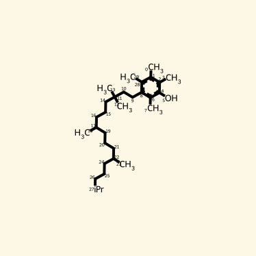 Cc1c(C)c(O)c(C)c(CCC(C)(C)CCCC(C)CCCC(C)CCCC(C)C)c1C